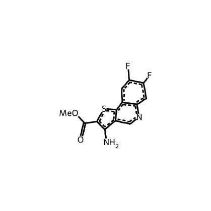 COC(=O)c1sc2c(cnc3cc(F)c(F)cc32)c1N